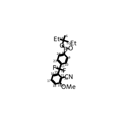 CCOB(OC(C)(C)CC)c1ccc(C(F)(F)c2cccc(OC)c2C#N)cc1